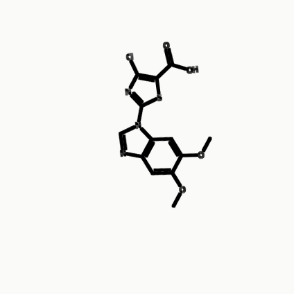 COc1cc2ncn(-c3nc(Cl)c(C(=O)O)s3)c2cc1OC